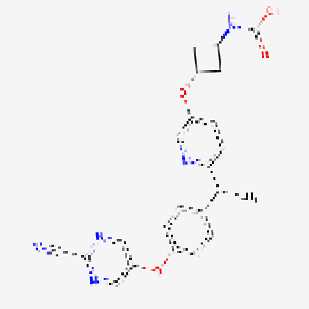 CC(c1ccc(Oc2cnc(C#N)nc2)cc1)c1ccc(O[C@H]2C[C@H](NC(=O)O)C2)cn1